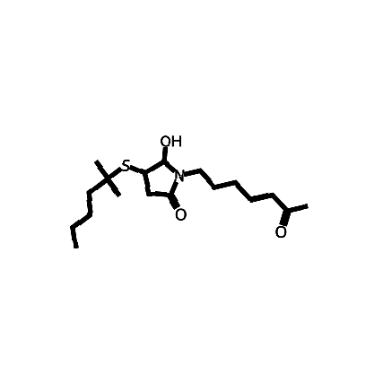 CCCCC(C)(C)SC1CC(=O)N(CCCCCC(C)=O)C1O